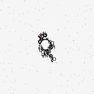 C=CC(=O)N1CC[C@H](C(=O)N(C)[C@H](C(=O)N[C@H]2C[C@@]3(C)CN(CCO3)c3ccc4c(c3)c(c(-c3cccnc3[C@H](C)OC)n4CC)CC(C)(C)COC(=O)[C@@H]3CCCN(N3)C2=O)C(C)C)C1